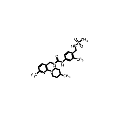 Cc1cc(NC(=O)NCc2ccc(C(F)(F)F)nc2N2CCC(C)CC2)ccc1CNS(C)(=O)=O